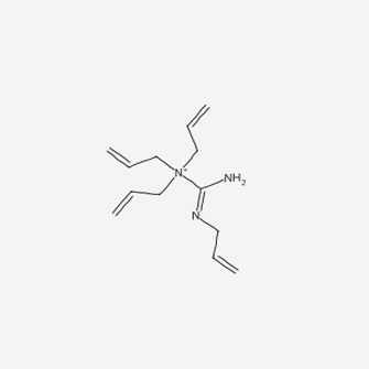 C=CC/N=C(\N)[N+](CC=C)(CC=C)CC=C